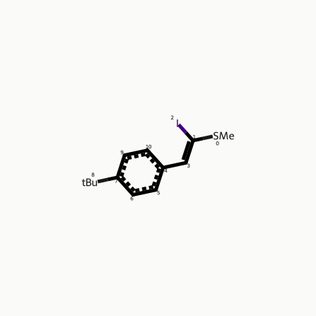 CS/C(I)=C/c1ccc(C(C)(C)C)cc1